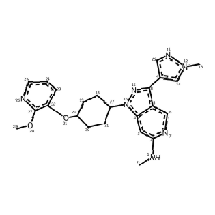 CNc1cc2c(cn1)c(-c1cnn(C)c1)nn2C1CCC(Oc2cccnc2OC)CC1